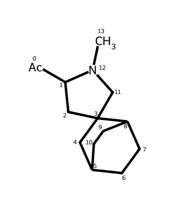 CC(=O)C1CC2(CC3CCC2CC3)CN1C